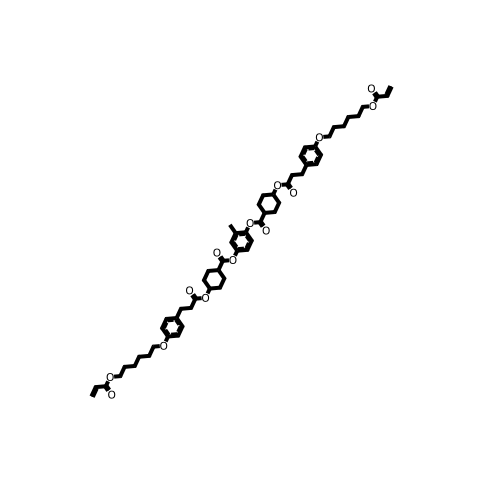 C=CC(=O)OCCCCCCOc1ccc(CCC(=O)OC2CCC(C(=O)Oc3ccc(OC(=O)C4CCC(OC(=O)CCc5ccc(OCCCCCCOC(=O)C=C)cc5)CC4)c(C)c3)CC2)cc1